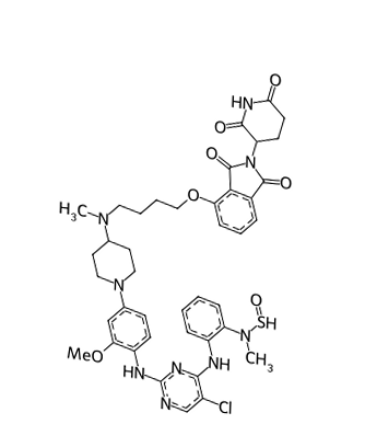 COc1cc(N2CCC(N(C)CCCCOc3cccc4c3C(=O)N(C3CCC(=O)NC3=O)C4=O)CC2)ccc1Nc1ncc(Cl)c(Nc2ccccc2N(C)[SH]=O)n1